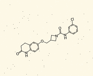 O=C1CCc2cc(OCC3CN(C(=O)Nc4cccc(Cl)c4)C3)ccc2N1